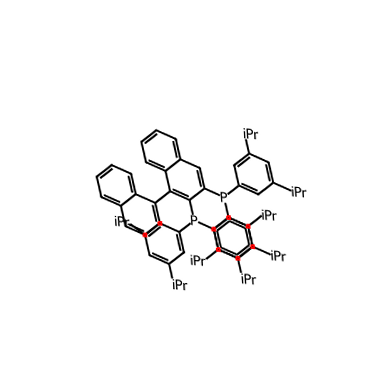 CC(C)c1cc(C(C)C)cc(P(c2cc(C(C)C)cc(C(C)C)c2)c2cc3ccccc3c(-c3cccc4ccccc34)c2P(c2cc(C(C)C)cc(C(C)C)c2)c2cc(C(C)C)cc(C(C)C)c2)c1